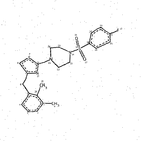 Cc1cccc(Cc2csc(N3CCN(S(=O)(=O)c4ccc(F)cc4)CC3)n2)c1C